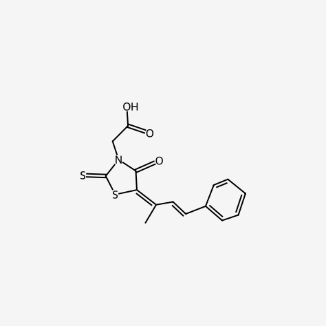 CC(/C=C/c1ccccc1)=C1\SC(=S)N(CC(=O)O)C1=O